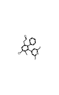 Cc1c(Cl)cc(CC=O)c(-c2ccccc2)c1-c1cc(F)nc(F)c1